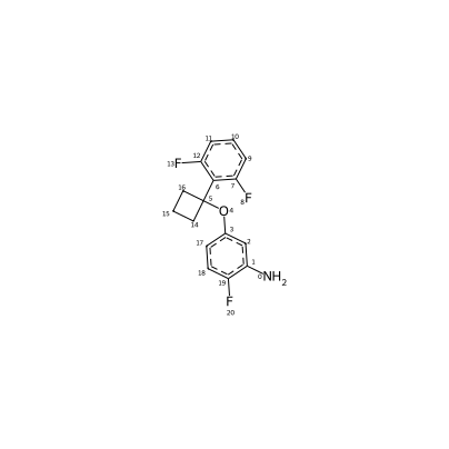 Nc1cc(OC2(c3c(F)cccc3F)CCC2)ccc1F